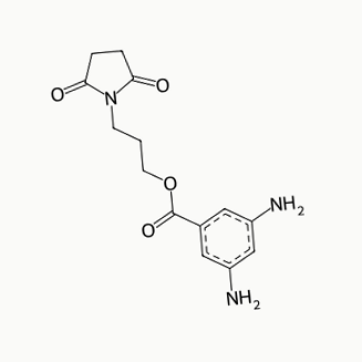 Nc1cc(N)cc(C(=O)OCCCN2C(=O)CCC2=O)c1